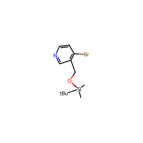 CC(C)(C)[Si](C)(C)OCc1cnccc1Br